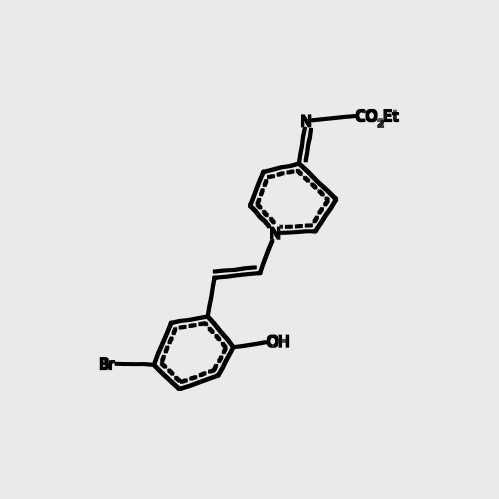 CCOC(=O)N=c1ccn(/C=C/c2cc(Br)ccc2O)cc1